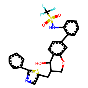 O=S(=O)(Nc1ccccc1-c1ccc2c(c1)OCC(Cc1cnc(-c3ccccc3)s1)C2O)C(F)(F)F